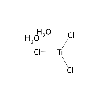 O.O.[Cl][Ti]([Cl])[Cl]